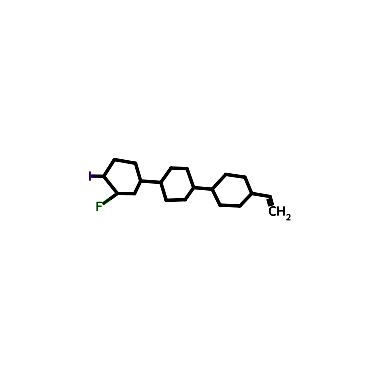 C=CC1CCC(C2CCC(C3CCC(I)C(F)C3)CC2)CC1